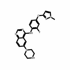 Cn1ccc(Oc2ccc(Nc3ncnc4ccc(N5CCNCC5)cc34)c(F)c2)n1